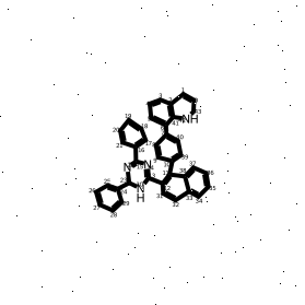 C1=Cc2cccc(-c3ccc(-c4c(C5=NC(c6ccccc6)=NC(c6ccccc6)N5)ccc5ccccc45)cc3)c2NC1